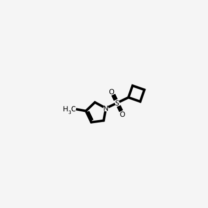 CC1=CCN(S(=O)(=O)C2CCC2)C1